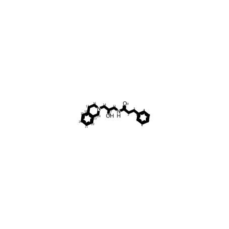 O=C(CCc1ccccc1)NCC(O)CN1CCc2ccccc2C1